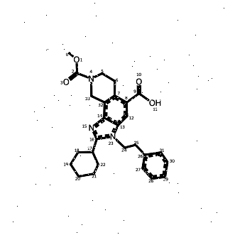 COC(=O)N1CCc2c(C(=O)O)cc3c(nc(C4CCCCC4)n3CCc3ccccc3)c2C1